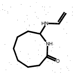 C=CNC1CCCCCCC(=O)N1